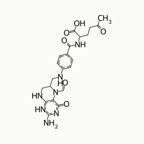 CC(=O)CCC(NC(=O)c1ccc(NCC2CNc3[nH]c(N)nc(=O)c3N2C=O)cc1)C(=O)O